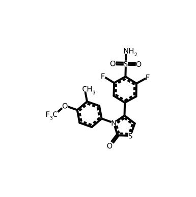 Cc1cc(-n2c(-c3cc(F)c(S(N)(=O)=O)c(F)c3)csc2=O)ccc1OC(F)(F)F